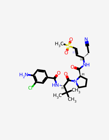 CC(C)(C)[C@H](NC(=O)c1ccc(N)c(Cl)c1)C(=O)N1CCC[C@@H]1C(=O)N[C@H](/C=C/S(C)(=O)=O)CC#N